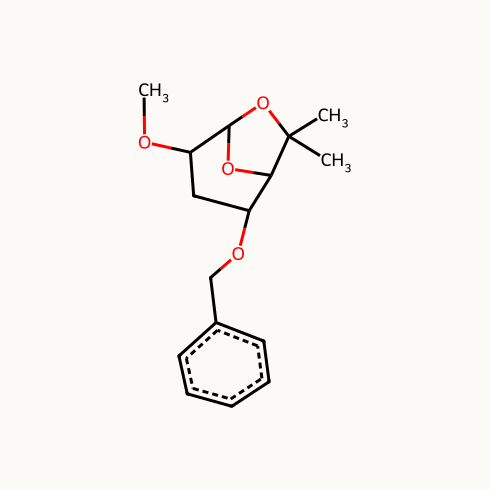 COC1CC(OCc2ccccc2)C2OC1OC2(C)C